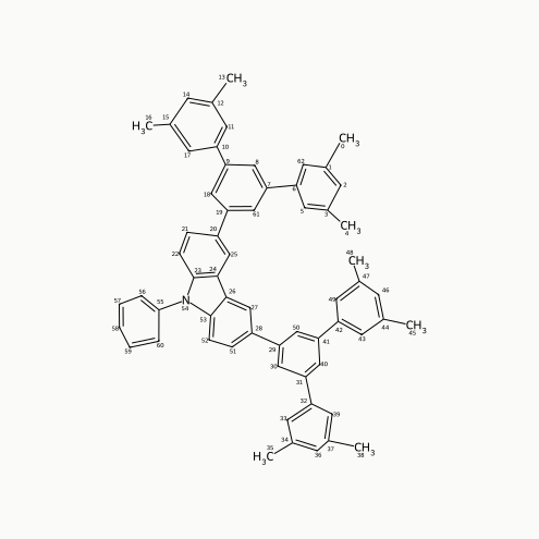 Cc1cc(C)cc(-c2cc(-c3cc(C)cc(C)c3)cc(-c3ccc4c(c3)c3cc(-c5cc(-c6cc(C)cc(C)c6)cc(-c6cc(C)cc(C)c6)c5)ccc3n4-c3ccccc3)c2)c1